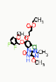 CCOC(=O)CCCOc1cc(Cl)c(-n2c(=O)[nH]c3c(OC)nc(C)nc32)cc1OCc1c(OC)ccc(F)c1F